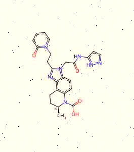 C[C@H]1CCc2c(ccc3c2nc(CCn2ccccc2=O)n3CC(=O)Nc2ccn[nH]2)N1C(=O)O